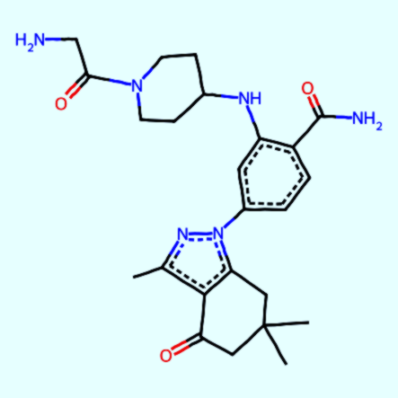 Cc1nn(-c2ccc(C(N)=O)c(NC3CCN(C(=O)CN)CC3)c2)c2c1C(=O)CC(C)(C)C2